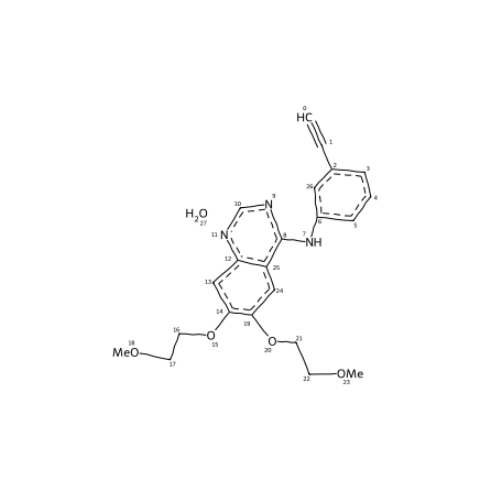 C#Cc1cccc(Nc2ncnc3cc(OCCOC)c(OCCOC)cc23)c1.O